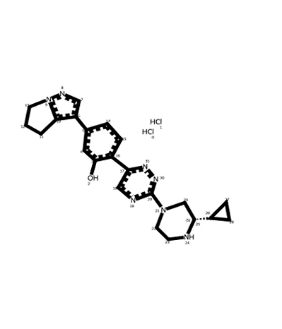 Cl.Cl.Oc1cc(-c2cnn3c2CCC3)ccc1-c1cnc(N2CCN[C@@H](C3CC3)C2)nn1